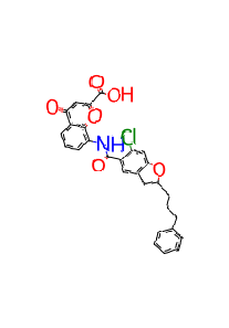 O=C(O)c1cc(=O)c2cccc(NC(=O)c3cc4c(cc3Cl)OC(CCCc3ccccc3)C4)c2o1